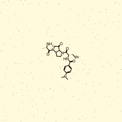 CC(C)C[C@H](NC(=O)c1ccc(N(C)C)cc1)C(=O)N1CCC2C1C(=O)CN2C(=O)[C@H](C)N